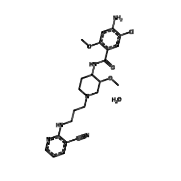 COc1cc(N)c(Cl)cc1C(=O)NC1CCN(CCCNc2ncccc2C#N)CC1OC.O